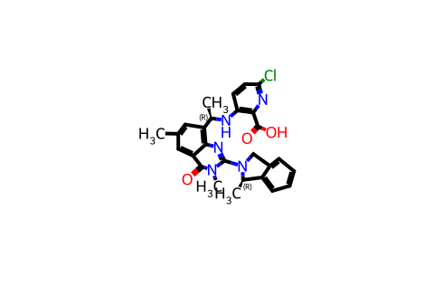 Cc1cc([C@@H](C)Nc2ccc(Cl)nc2C(=O)O)c2nc(N3Cc4ccccc4[C@H]3C)n(C)c(=O)c2c1